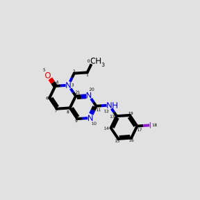 CCCn1c(=O)ccc2cnc(Nc3cccc(I)c3)nc21